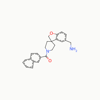 NCc1ccc2c(c1)C1(CCN(C(=O)c3ccc4ccccc4c3)CC1)CO2